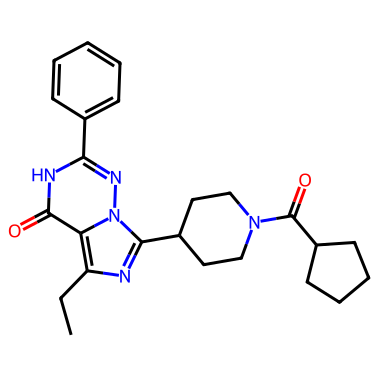 CCc1nc(C2CCN(C(=O)C3CCCC3)CC2)n2nc(-c3ccccc3)[nH]c(=O)c12